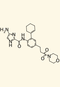 Nc1c[nH]c(C(=O)Nc2ccc(CCS(=O)(=O)N3CCOCC3)cc2C2=CCCCC2)n1